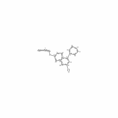 [N-]=[N+]=NCc1ccc2c(-c3ccccc3)cc(Cl)nc2c1